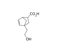 O=C(O)C1CC2(CCO)C=CC1C2